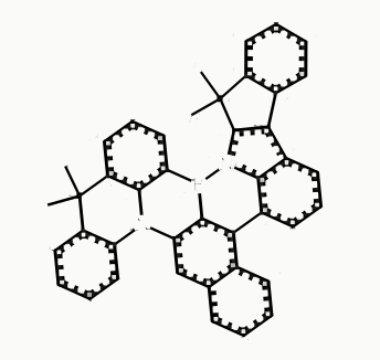 CC1(C)c2ccccc2N2c3cc4ccccc4c4c3B(c3cccc1c32)n1c2c(c3cccc-4c31)-c1ccccc1C2(C)C